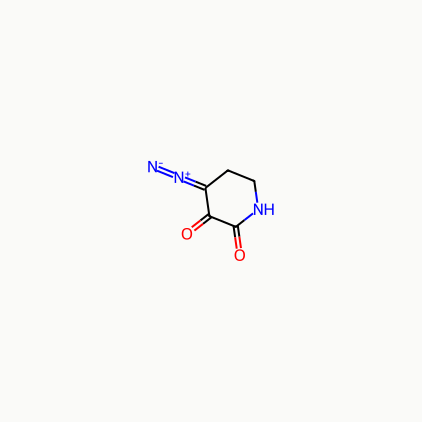 [N-]=[N+]=C1CCNC(=O)C1=O